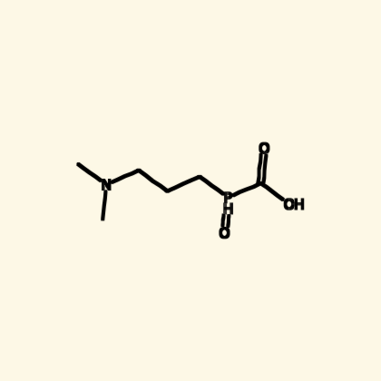 CN(C)CCC[PH](=O)C(=O)O